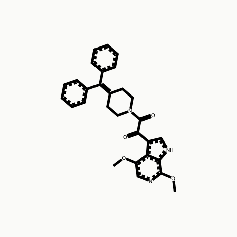 COc1ncc(OC)c2c(C(=O)C(=O)N3CCC(=C(c4ccccc4)c4ccccc4)CC3)c[nH]c12